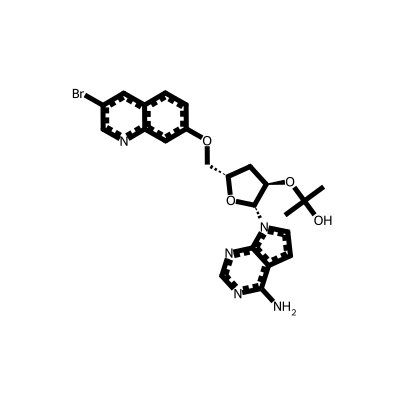 CC(C)(O)O[C@@H]1C[C@@H](COc2ccc3cc(Br)cnc3c2)O[C@H]1n1ccc2c(N)ncnc21